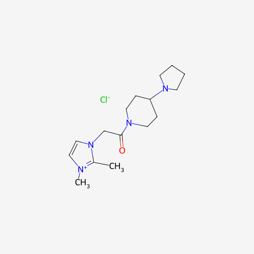 Cc1n(CC(=O)N2CCC(N3CCCC3)CC2)cc[n+]1C.[Cl-]